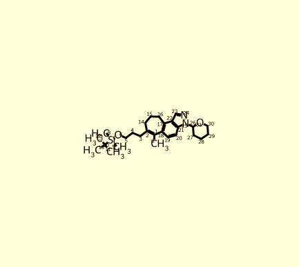 CC1=C(CCCO[Si](C)(C)C(C)(C)C)CCCc2c1ccc1c2cnn1C1CCCCO1